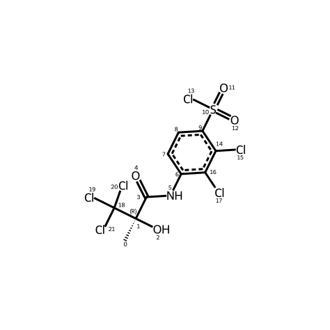 C[C@@](O)(C(=O)Nc1ccc(S(=O)(=O)Cl)c(Cl)c1Cl)C(Cl)(Cl)Cl